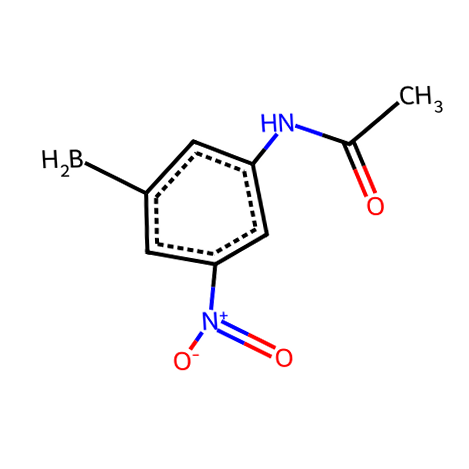 Bc1cc(NC(C)=O)cc([N+](=O)[O-])c1